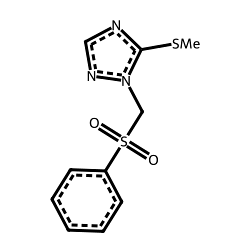 CSc1ncnn1CS(=O)(=O)c1ccccc1